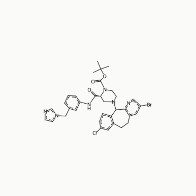 CC(C)(C)OC(=O)N1CCN(C2c3ccc(Cl)cc3CCc3cc(Br)cnc32)C[C@H]1C(=O)Nc1cccc(Cn2ccnc2)c1